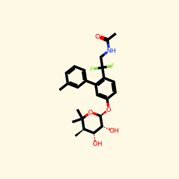 CC(=O)NCC(F)(F)c1ccc(O[C@@H]2OC(C)(C)[C@H](C)[C@@H](O)[C@H]2O)cc1-c1cccc(C)c1